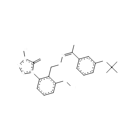 COc1cccc(-n2nnn(C)c2=O)c1CON=C(C)c1cccc(OC(F)(F)F)c1